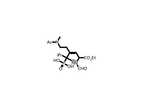 CCOC(=O)C(C=C(CCN(C)C(C)=O)C(C(C)C)(C(C)C)P(=O)(O)O)NC=O